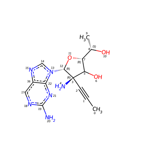 CC#C[C@@]1(N)C(O)[C@@H]([C@H](C)O)O[C@H]1n1cnc2cnc(N)nc21